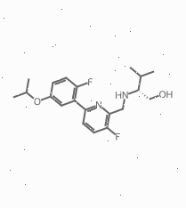 CC(C)Oc1ccc(F)c(-c2ccc(F)c(CN[C@@H](CO)C(C)C)n2)c1